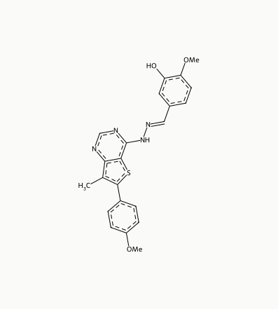 COc1ccc(-c2sc3c(NN=Cc4ccc(OC)c(O)c4)ncnc3c2C)cc1